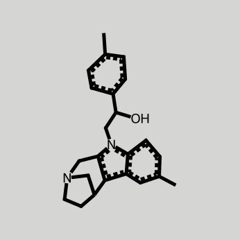 Cc1ccc(C(O)Cn2c3c(c4cc(C)ccc42)C2CCN(C3)C2)cc1